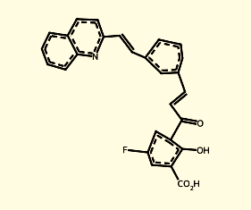 O=C(O)c1cc(F)cc(C(=O)C=Cc2cccc(C=Cc3ccc4ccccc4n3)c2)c1O